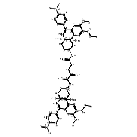 CCOc1cc2c(cc1OC)C(c1cnc(N(C)C)nc1)=N[C@@H]1CC[C@@H](OC(=O)CCC(=O)C(=O)O[C@@H]3CC[C@H]4N=C(c5cnc(N(C)C)nc5)c5cc(OC)c(OCC)cc5[C@H]4C3)C[C@H]21